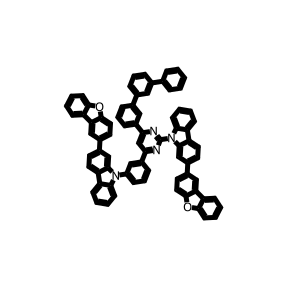 c1ccc(-c2cccc(-c3cccc(-c4cc(-c5cccc(-n6c7ccccc7c7ccc(-c8ccc9oc%10ccccc%10c9c8)cc76)c5)nc(-n5c6ccccc6c6ccc(-c7ccc8oc9ccccc9c8c7)cc65)n4)c3)c2)cc1